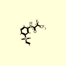 C=C[Si](C)(C)c1cccc(NC(=O)C(F)C(F)(F)F)c1